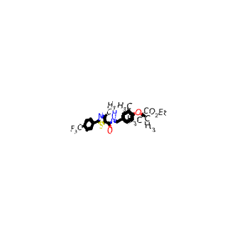 CCOC(=O)C(C)(C)Oc1ccc(CNC(=O)c2sc(-c3ccc(C(F)(F)F)cc3)nc2C)cc1C